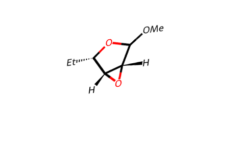 CC[C@@H]1OC(OC)[C@@H]2O[C@H]12